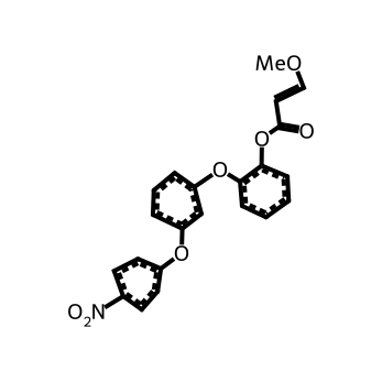 COC=CC(=O)Oc1ccccc1Oc1cccc(Oc2ccc([N+](=O)[O-])cc2)c1